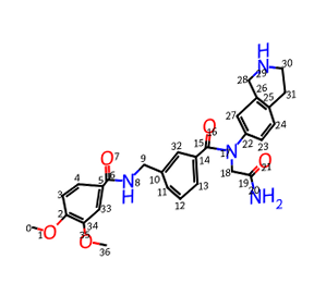 COc1ccc(C(=O)NCc2cccc(C(=O)N(CC(N)=O)c3ccc4c(c3)CNCC4)c2)cc1OC